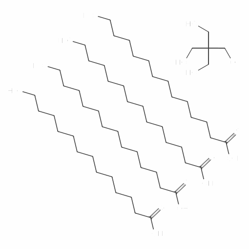 CCCCCCCCCCCCCC(O)=S.CCCCCCCCCCCCCC(O)=S.CCCCCCCCCCCCCC(O)=S.CCCCCCCCCCCCCC(O)=S.OCC(CO)(CO)CO